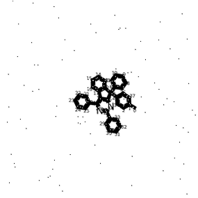 Cc1ccc(C2(c3ccccc3)c3ccccc3-c3c(-c4ccccc4)nc(-c4ccccc4)nc32)cc1